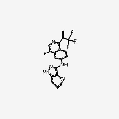 C=C(c1ncc(F)c2cc(Nc3n[nH]c4cccnc34)ccc12)C(F)(F)F